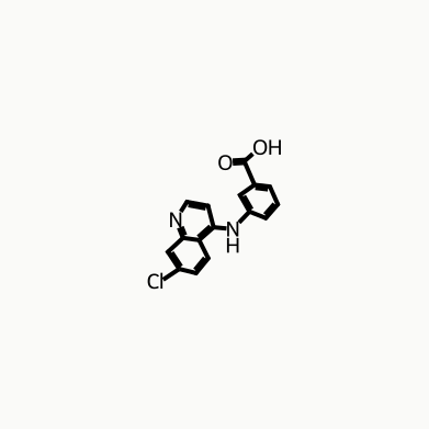 O=C(O)c1cccc(Nc2ccnc3cc(Cl)ccc23)c1